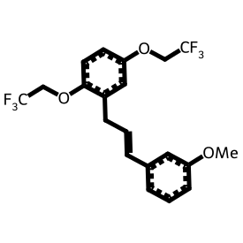 COc1cccc(C=CCc2cc(OCC(F)(F)F)ccc2OCC(F)(F)F)c1